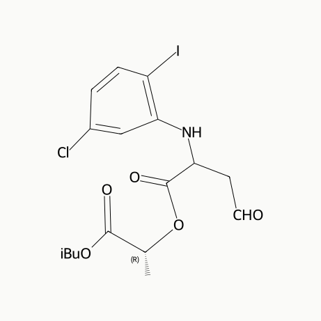 CC(C)COC(=O)[C@@H](C)OC(=O)C(CC=O)Nc1cc(Cl)ccc1I